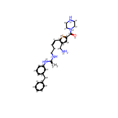 C=C(NCC/C=C\c1sc(C(=O)N2CCNCC2)cc1CN)Nc1cccc(Cc2ccccc2)c1